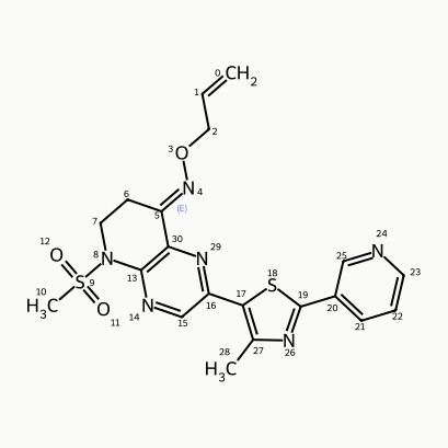 C=CCO/N=C1\CCN(S(C)(=O)=O)c2ncc(-c3sc(-c4cccnc4)nc3C)nc21